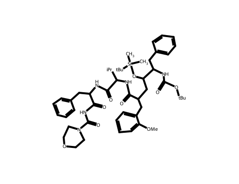 COc1ccccc1CC(CC(O[Si](C)(C)C(C)(C)C)C(Cc1ccccc1)NC(=O)OC(C)(C)C)C(=O)NC(C(=O)NC(Cc1ccccc1)C(=O)NC(=O)N1CCOCC1)C(C)C